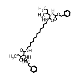 CCC(C)[C@H](NC(=O)OCc1ccccc1)C(=O)NCCCCCCCCCCCCNC(=O)[C@@H](NC(=O)OCc1ccccc1)C(C)CC